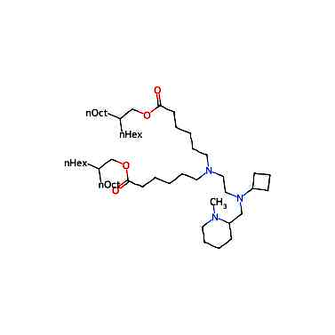 CCCCCCCCC(CCCCCC)COC(=O)CCCCCN(CCCCCC(=O)OCC(CCCCCC)CCCCCCCC)CCN(CC1CCCCN1C)C1CCC1